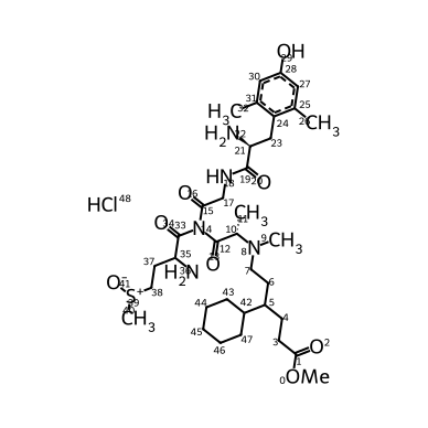 COC(=O)CCC(CCN(C)[C@@H](C)C(=O)N(C(=O)CNC(=O)[C@@H](N)Cc1c(C)cc(O)cc1C)C(=O)C(N)CC[S+](C)[O-])C1CCCCC1.Cl